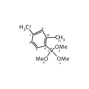 CO[Si](OC)(OC)c1ccc(C)cc1C